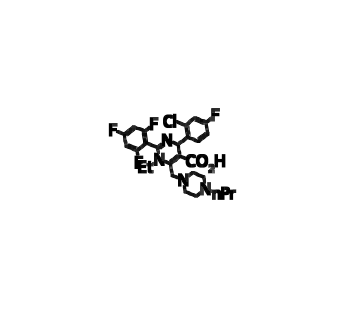 CCCN1CCN(CC2=C(C(=O)O)C(c3ccc(F)cc3Cl)N=C(c3c(F)cc(F)cc3F)N2CC)CC1